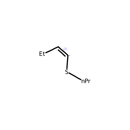 CC/C=[C]\SCCC